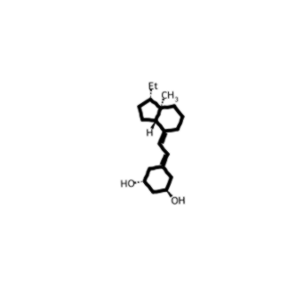 CC[C@H]1CC[C@H]2/C(=C/C=C3C[C@@H](O)C[C@H](O)C3)CCC[C@]12C